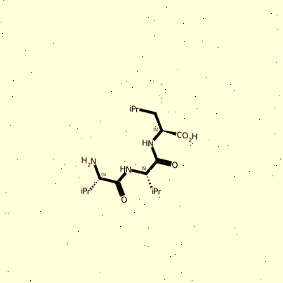 CC(C)C[C@H](NC(=O)[C@@H](NC(=O)[C@@H](N)C(C)C)C(C)C)C(=O)O